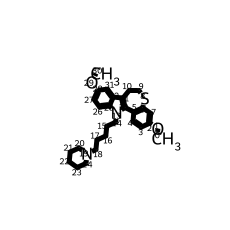 COc1ccc2c(c1)SCCc1c-2n(CCCCCN2CCCCC2)c2ccc(OC)cc12